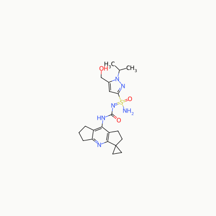 CC(C)n1nc(S(N)(=O)=NC(=O)Nc2c3c(nc4c2CCC42CC2)CCC3)cc1CO